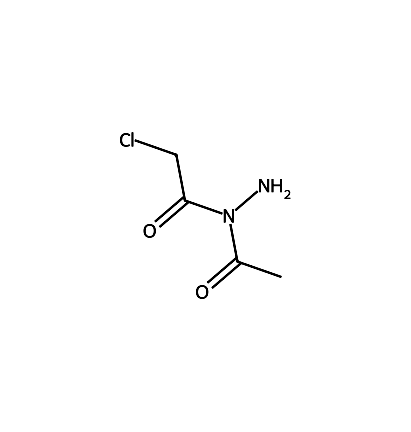 CC(=O)N(N)C(=O)CCl